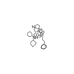 C1CCC(NC2CCCCC2)CC1.O=C(O)[C@@H]1C[C@@H]2CCC[C@@H]2N1C(=O)CCCCc1ccccc1